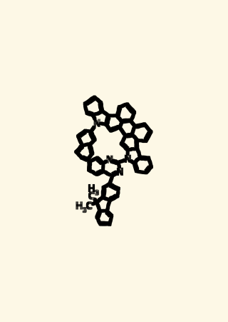 CC1(C)c2ccccc2-c2ccc(-c3nc(-n4c5ccccc5c5c6cccc7c8cccc9c8c(cc8c9c9ccccc9n8-c8ccc9ccccc9c8)c(cc54)c76)nc4ccccc34)cc21